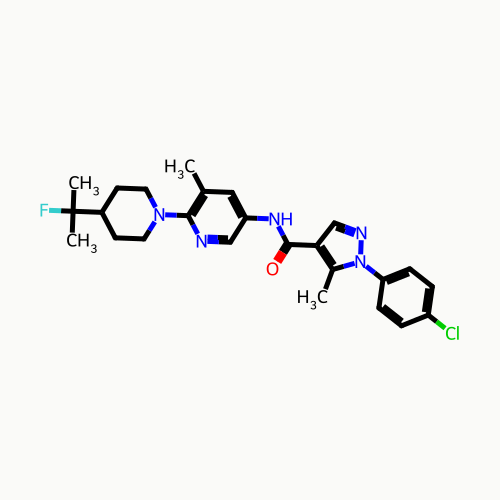 Cc1cc(NC(=O)c2cnn(-c3ccc(Cl)cc3)c2C)cnc1N1CCC(C(C)(C)F)CC1